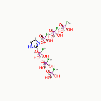 C1=NCCN1.O=P(O)(O)F.O=P(O)(O)F.O=P(O)(O)F.O=P(O)(O)F.O=P(O)(O)F.O=P(O)(O)F